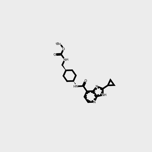 CC(C)(C)OC(=O)NC[C@H]1CC[C@H](NC(=O)c2ccnc3[nH]c(C4CC4)nc23)CC1